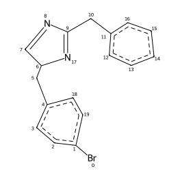 Brc1ccc(CC2C=NC(Cc3ccccc3)=N2)cc1